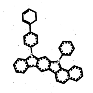 C1=CCCC(c2ccc(-n3c4ccccc4c4cc5c6ccc7ccccc7c6n(-c6ccccc6)c5cc43)cc2)=C1